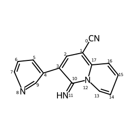 N#Cc1cc(-c2cccnc2)c(=N)n2ccccc12